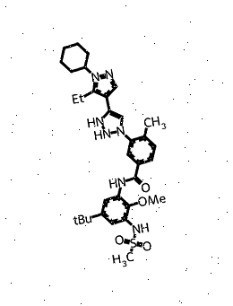 CCc1c(C2=CN(c3cc(C(=O)Nc4cc(C(C)(C)C)cc(NS(C)(=O)=O)c4OC)ccc3C)NN2)cnn1C1CCCCC1